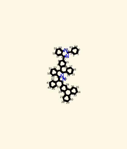 c1ccc(-c2nc(-c3ccc(-c4c(-c5ccccc5)n5nc(-c6ccc7c8ccccc8c8ccccc8c7c6)c(-c6ccccc6)c5c5ccccc45)cc3)c3ccccc3n2)cc1